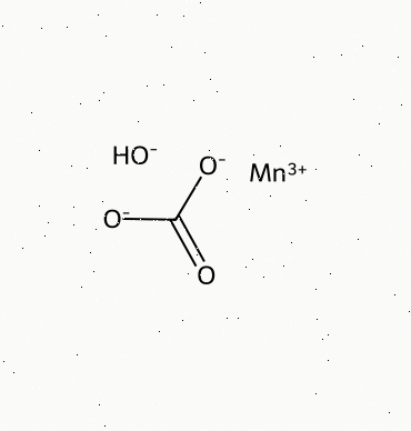 O=C([O-])[O-].[Mn+3].[OH-]